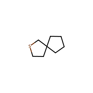 C1CCC2(C1)CCSC2